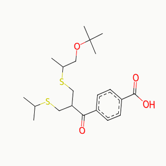 CC(C)SCC(CSC(C)COC(C)(C)C)C(=O)c1ccc(C(=O)O)cc1